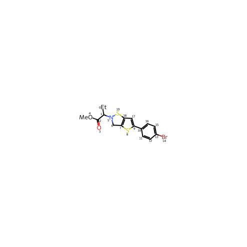 CCC(C(=O)OC)N1Cc2sc(-c3ccc(Br)cc3)cc2S1